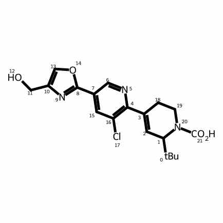 CC(C)(C)C1C=C(c2ncc(-c3nc(CO)co3)cc2Cl)CCN1C(=O)O